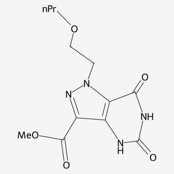 CCCOCCn1nc(C(=O)OC)c2[nH]c(=O)[nH]c(=O)c21